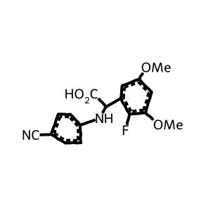 COc1cc(OC)c(F)c(C(Nc2ccc(C#N)cc2)C(=O)O)c1